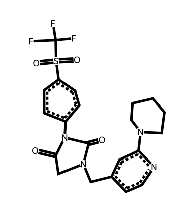 O=C1CN(Cc2ccnc(N3CCCCC3)c2)C(=O)N1c1ccc(S(=O)(=O)C(F)(F)F)cc1